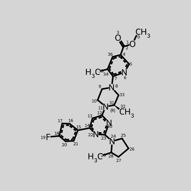 COC(=O)c1cnc(N2CCN(c3cc(-c4ccc(F)cc4)nc(N4CCCC4C)n3)[C@H](C)C2)c(C)c1